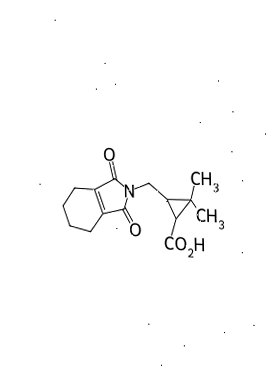 CC1(C)C(CN2C(=O)C3=C(CCCC3)C2=O)C1C(=O)O